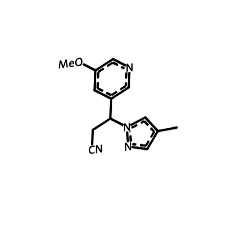 COc1cncc(C(CC#N)n2cc(C)cn2)c1